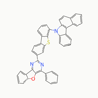 c1ccc(-c2nc(-c3ccc4c(c3)sc3c(-n5c6ccccc6c6c7ccccc7ccc65)cccc34)nc3c2oc2ccccc23)cc1